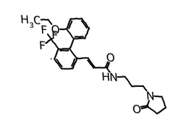 CCOc1ccccc1-c1c(C(F)(F)F)[c]ccc1/C=C/C(=O)NCCCN1CCCC1=O